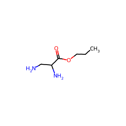 CCCOC(=O)C(N)CN